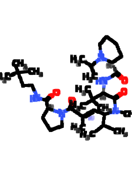 C/C(=C\C(C(C)C)N(C)C(=O)[C@@H](NC(=O)[C@H]1CCCCN1C(C)C)C(C)(C)C)C(=O)N1CCC[C@H]1C(=O)NCCC(C)(C)C